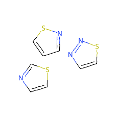 c1cnsc1.c1cscn1.c1csnn1